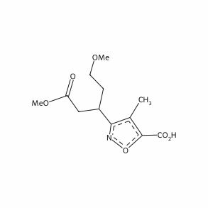 COCCC(CC(=O)OC)c1noc(C(=O)O)c1C